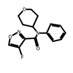 O=C(c1nocc1F)N(c1ccccc1)C1CCOCC1